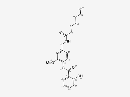 COc1cc(CNC(=O)CCCCCC(C)C)ccc1OC(=O)c1ccccc1O